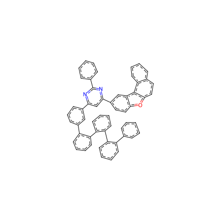 c1ccc(-c2nc(-c3cccc(-c4ccccc4-c4ccccc4-c4ccccc4-c4ccccc4)c3)cc(-c3ccc4oc5ccc6ccccc6c5c4c3)n2)cc1